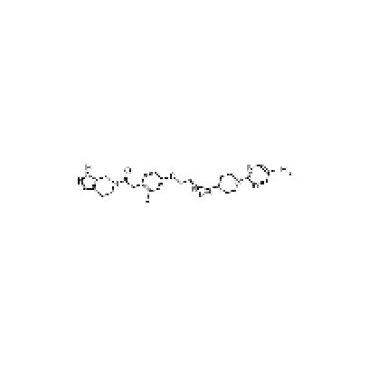 Cc1cnc(N2CCC([C@H]3C[C@H]3CCOc3ccc(CC(=O)N4CCc5cn[nH]c5C4)c(F)c3)CC2)nc1